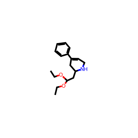 CCOC(CC1CC(c2ccccc2)=CCN1)OCC